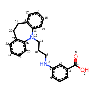 O=C(O)c1cccc(NCCCN2c3ccccc3CCc3ccccc32)c1